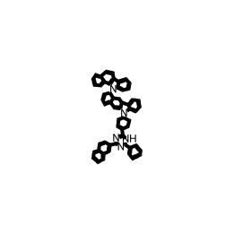 C1=CC(n2c3ccccc3c3ccc4ccccc4c32)C2CC3C(=CC2=C1)N(C1CC=C(C2=NC(c4ccc5ccccc5c4)=NC(c4ccccc4)N2)CC1)c1ccccc13